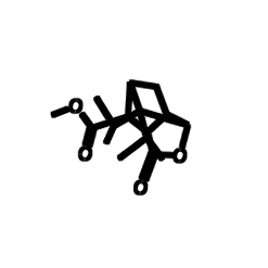 COC(=O)C1C2C(=O)OC3C2CC1C3(C(C)C)C(C)C